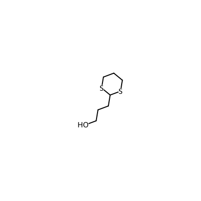 OCCCC1SCCCS1